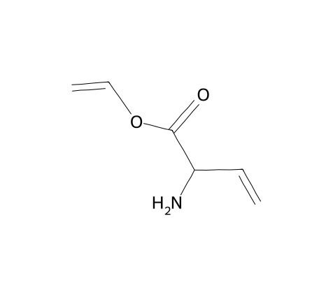 C=COC(=O)C(N)C=C